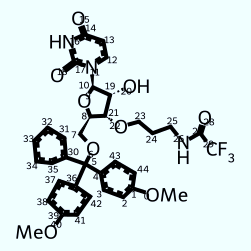 COc1ccc(C(OC[C@H]2O[C@@H](n3ccc(=O)[nH]c3=O)[C@H](O)[C@@H]2OCCCNC(=O)C(F)(F)F)(c2ccccc2)c2ccc(OC)cc2)cc1